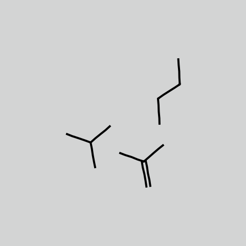 C=C(C)C.CC(C)C.CCCC